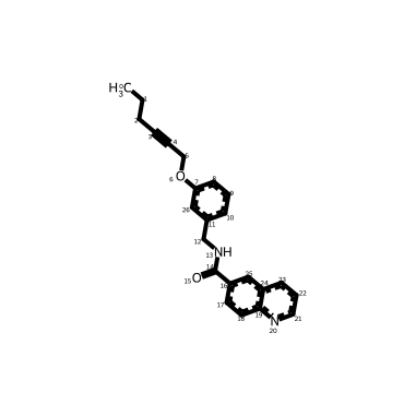 CCCC#CCOc1cccc(CNC(=O)c2ccc3ncccc3c2)c1